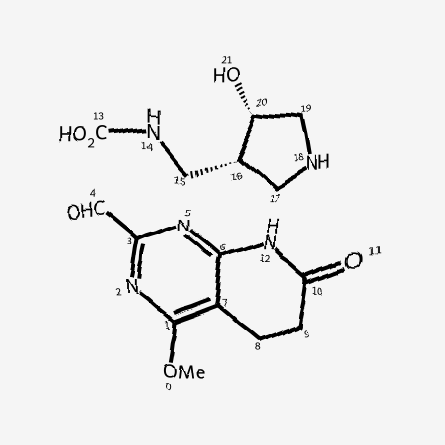 COc1nc(C=O)nc2c1CCC(=O)N2.O=C(O)NC[C@H]1CNC[C@H]1O